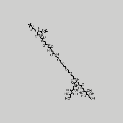 CC(C)(C)OC(=O)CC[C@H](NC(=O)OC(C)(C)C)C(=O)NCC(=O)NCC(=O)NCC(=O)NCC(=O)NCCOCCOCCOCCOCCC(=O)N[C@@H](CCC(=O)NC[C@H](O)[C@@H](O)[C@H](O)[C@H](O)CO)C(=O)NC[C@H](O)[C@@H](O)[C@H](O)[C@H](O)CO